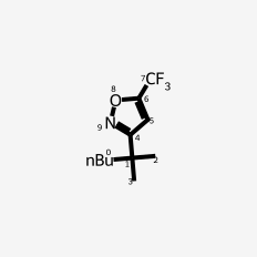 CCCCC(C)(C)c1cc(C(F)(F)F)on1